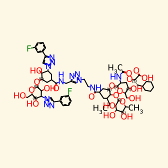 CCC1CC(C(=O)NCCn2cc(CNC(=O)C3CC(n4cc(-c5cccc(F)c5)nn4)C(O)[C@H](O[C@@H]4OC(CO)[C@H](O)C(n5cc(-c6cccc(F)c6)nn5)C4O)C3)nn2)C[C@@H](O[C@@H]2OC(CO)[C@H](O)C(O[C@@H](CC3CCCCC3)C(=O)O)C2NC(C)=O)C1O[C@@H]1OC(C)[C@@H](O)C(O)C1O